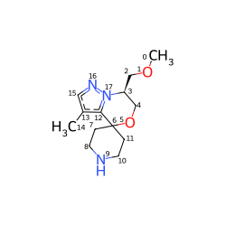 COC[C@H]1COC2(CCNCC2)c2c(C)cnn21